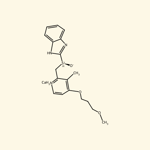 COCCCOc1ccnc(C[S@+]([O-])c2nc3ccccc3[nH]2)c1C.[CaH2]